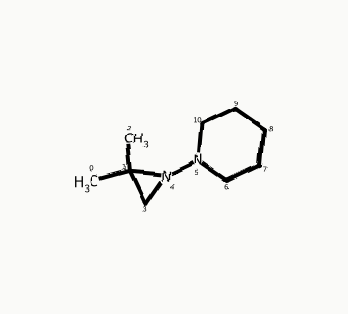 CC1(C)CN1N1CCCCC1